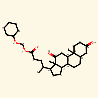 CC(CCC(=O)OCOC1CCCCC1)C1CCC2C3CCC4CC(=O)CCC4(C)C3CC(=O)C12C